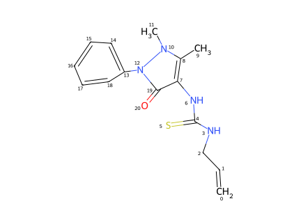 C=CCNC(=S)Nc1c(C)n(C)n(-c2ccccc2)c1=O